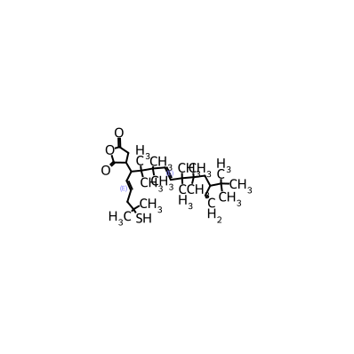 C=CC(CC(C)(C)C(C)(C)/C=C/C(C)(C)C(C)(C)C(/C=C/CC(C)(C)S)C1CC(=O)OC1=O)C(C)(C)C